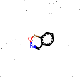 C1=NOSc2ccccc21